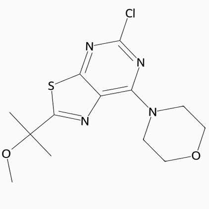 COC(C)(C)c1nc2c(N3CCOCC3)nc(Cl)nc2s1